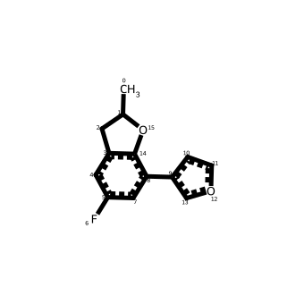 CC1Cc2cc(F)cc(-c3ccoc3)c2O1